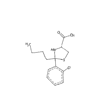 CCCCC1(c2ccccc2Cl)NC(C(=O)O)CS1